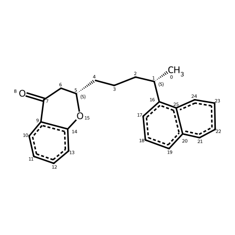 C[C@@H](CCC[C@H]1CC(=O)c2ccccc2O1)c1cccc2ccccc12